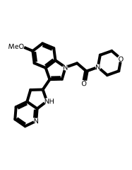 COc1ccc2c(c1)c(C1Cc3cccnc3N1)cn2CC(=O)N1CCOCC1